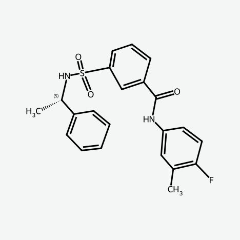 Cc1cc(NC(=O)c2cccc(S(=O)(=O)N[C@@H](C)c3ccccc3)c2)ccc1F